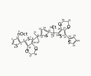 CCCCCCCCc1ccsc1-c1sc(C(C)(C)c2ccc(C(C)(CC)c3sc(-c4cccs4)c4c3OCCO4)s2)c2c1OCCO2